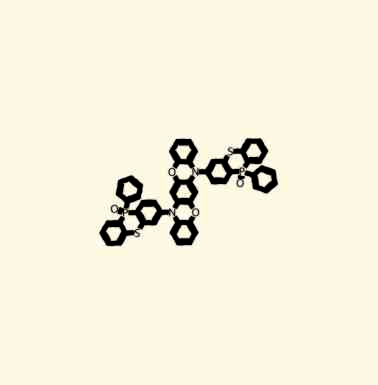 O=P1(c2ccccc2)c2ccccc2Sc2cc(-n3c4ccccc4oc4cc5c(cc43)oc3ccccc3n5-c3ccc4c(c3)Sc3ccccc3P4(=O)c3ccccc3)ccc21